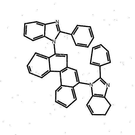 C1=Cc2c(nc(-c3ccccc3)n2-c2cc3cc(-n4c(-c5ccccc5)nc5ccccc54)c4ccccc4c3c3ccccc23)CC1